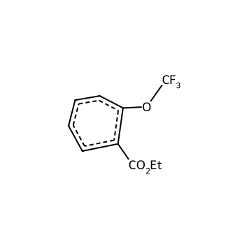 CCOC(=O)c1ccccc1OC(F)(F)F